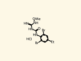 CCc1cc(Br)c(NC(=O)NC(=N)NOC)c(Br)c1.Cl